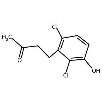 CC(=O)CCc1c(Cl)ccc(O)c1Cl